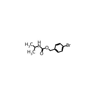 CC(C)NC(=O)OCc1ccc(Br)cc1